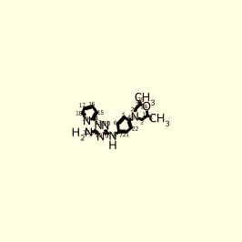 CC1CN(c2ccc(Nc3nc(N)n(-c4ccccn4)n3)cc2)CC(C)O1